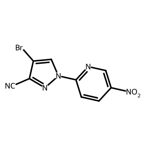 N#Cc1nn(-c2ccc([N+](=O)[O-])cn2)cc1Br